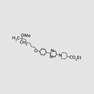 CCOC(=O)C1CCN(c2cnc(-c3ccc(OCCCCCC(C)(C)OC)cc3)nc2)CC1